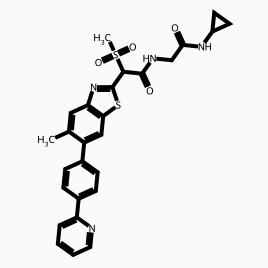 Cc1cc2nc(C(C(=O)NCC(=O)NC3CC3)S(C)(=O)=O)sc2cc1-c1ccc(-c2ccccn2)cc1